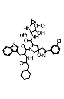 CCC[C@](NC(=O)C1CC2(CC(c3cccc(Cl)c3)=NO2)CN1C(=O)[C@H](Cc1csc2ccccc12)NC(=O)CC1CCCCC1)(NC1CC1)C(O)C=O